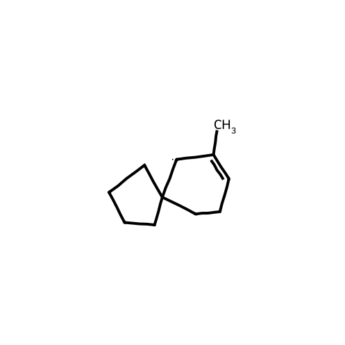 CC1=CCCC2([CH]1)CCCC2